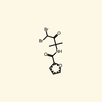 CC(C)(NC(=O)c1ccco1)C(=O)C(Br)Br